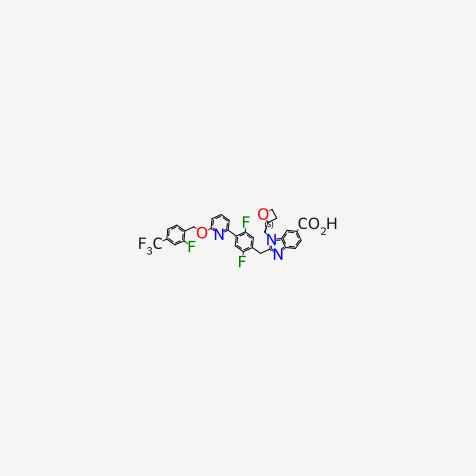 O=C(O)c1ccc2nc(Cc3cc(F)c(-c4cccc(OCc5ccc(C(F)(F)F)cc5F)n4)cc3F)n(C[C@@H]3CCO3)c2c1